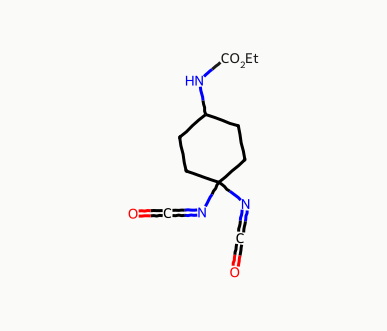 CCOC(=O)NC1CCC(N=C=O)(N=C=O)CC1